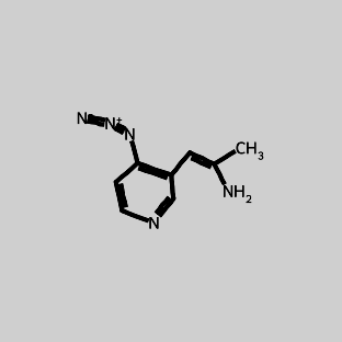 CC(N)=Cc1cnccc1N=[N+]=[N-]